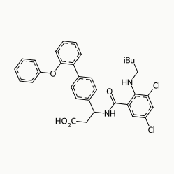 CCC(C)CNc1c(Cl)cc(Cl)cc1C(=O)NC(CC(=O)O)c1ccc(-c2ccccc2Oc2ccccc2)cc1